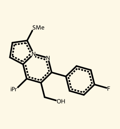 CSc1ccc2c(C(C)C)c(CO)c(-c3ccc(F)cc3)nn12